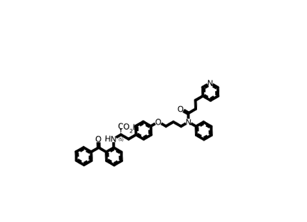 O=C(c1ccccc1)c1ccccc1N[C@@H](Cc1ccc(OCCCN(C(=O)CCc2cccnc2)c2ccccc2)cc1)C(=O)O